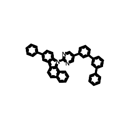 c1ccc(-c2cccc(-c3cccc(-c4cnc(-n5c6ccc(-c7ccccc7)cc6c6ccc7ccccc7c65)nc4)c3)c2)cc1